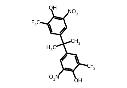 CC(C)(c1cc([N+](=O)[O-])c(O)c(C(F)(F)F)c1)c1cc([N+](=O)[O-])c(O)c(C(F)(F)F)c1